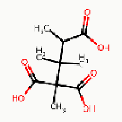 CC(C(=O)O)C(C)(C)C(C)(C(=O)O)C(=O)O